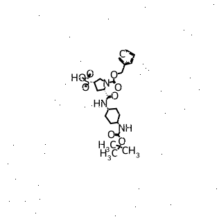 CC(C)(C)OC(=O)N[C@H]1CC[C@H](NC(=O)[C@@H]2C[C@H](S(=O)(=O)O)CN2C(=O)OCc2ccccc2)CC1